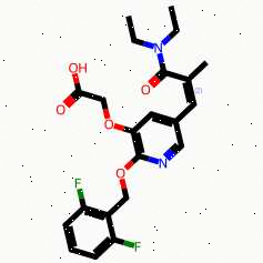 CCN(CC)C(=O)/C(C)=C\c1cnc(OCc2c(F)cccc2F)c(OCC(=O)O)c1